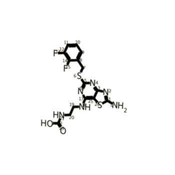 Nc1nc2nc(SCc3cccc(F)c3F)nc(NCCNC(=O)O)c2s1